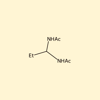 [CH2]CC(NC(C)=O)NC(C)=O